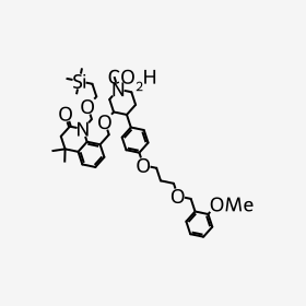 COc1ccccc1COCCCOc1ccc(C2CCN(C(=O)O)CC2OCc2cccc3c2N(COCC[Si](C)(C)C)C(=O)CC3(C)C)cc1